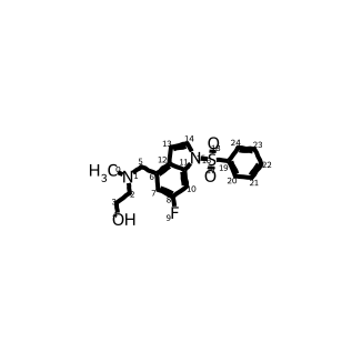 CN(CCO)Cc1cc(F)cc2c1ccn2S(=O)(=O)c1ccccc1